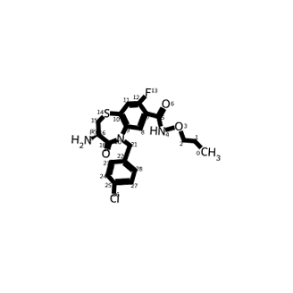 CCCONC(=O)c1cc2c(cc1F)SC[C@H](N)C(=O)N2Cc1ccc(Cl)cc1